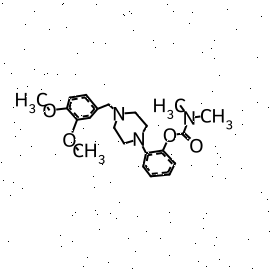 COc1ccc(CN2CCN(c3ccccc3OC(=O)N(C)C)CC2)cc1OC